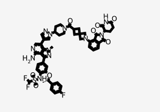 C[C@H](Oc1cc(-c2nn(C)c3c(-c4cnn(C5CCN(C(=O)C6CC7(C6)CN(c6cccc8c6C(=O)N(C6CCC(=O)NC6=O)C8=O)C7)CC5)c4)cnc(N)c23)ccc1NS(=O)(=O)C(F)F)c1ccc(F)cc1